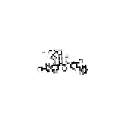 COC1(C)CN(c2c(NC(=O)Nc3cnc(-n4nccn4)c(Cl)c3)cnn3cc(Cl)nc23)C1